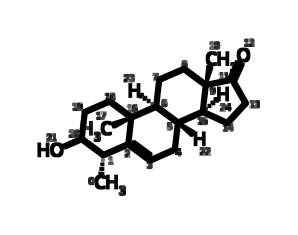 C[C@H]1C2=CC[C@@H]3[C@H](CC[C@]4(C)C(=O)CC[C@@H]34)[C@@]2(C)CCC1O